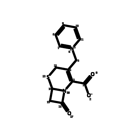 O=C([O-])C1=C(C[n+]2ccccc2)CSC2CC(=O)N12